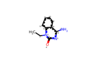 CCn1c(=O)nc(N)c2ccccc21